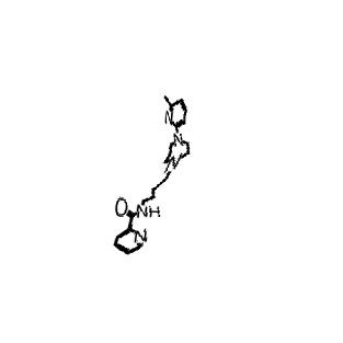 Cc1cccc(N2CCN(CCCCNC(=O)c3ccccn3)CC2)n1